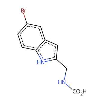 O=C(O)NCc1cc2cc(Br)ccc2[nH]1